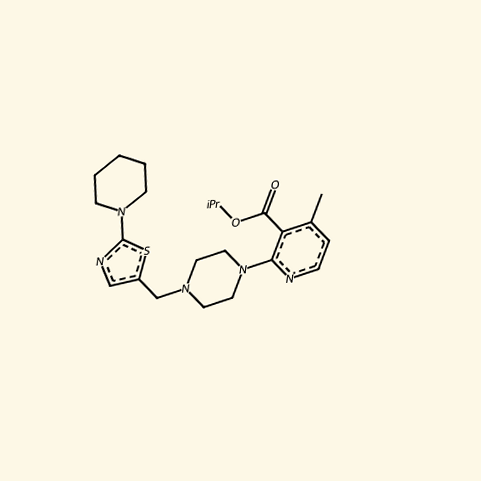 Cc1ccnc(N2CCN(Cc3cnc(N4CCCCC4)s3)CC2)c1C(=O)OC(C)C